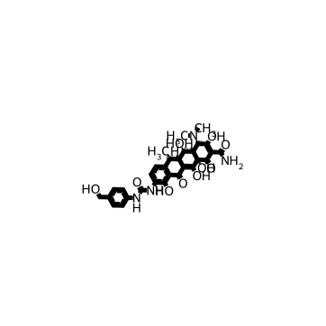 C[C@H]1c2ccc(NC(=O)Nc3ccc(CO)cc3)c(O)c2C(=O)C2=C(O)[C@]3(O)C(=O)C(C(N)=O)=C(O)[C@@H](N(C)C)[C@@H]3[C@@H](O)[C@@H]21